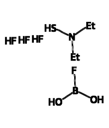 CCN(S)CC.F.F.F.OB(O)F